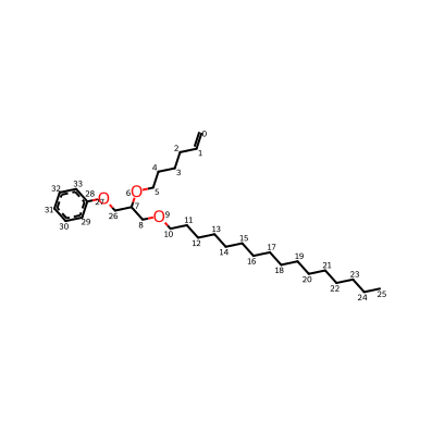 C=CCCCCOC(COCCCCCCCCCCCCCCCC)COc1ccccc1